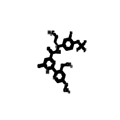 COC[C@@H](NC(=O)c1cc(=O)[nH]c(-c2ncc(OC)cc2OC)n1)c1ccc(OC(F)(F)F)c(F)c1